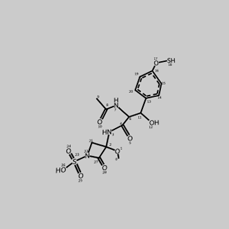 COC1(NC(=O)C(NC(C)=O)C(O)c2ccc(OS)cc2)CN(S(=O)(=O)O)C1=O